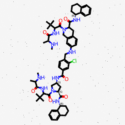 CNC(C)C(=O)NC(C(=O)N1Cc2cc(NCc3ccc(C(=O)N[C@H]4C[C@@H](C(=O)N[C@@H]5CCCc6ccccc65)N(C(=O)C(NC(=O)C(C)NC)C(C)(C)C)C4)cc3Cl)ccc2CC1C(=O)N[C@@H]1CCCc2ccccc21)C(C)(C)C